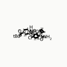 CC(C)(C)OC(=O)N1CCN(NS(=O)(=O)c2c(Cl)ccc(N(C(N)=O)C3CCC3)c2O)CC1